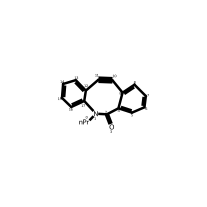 CCCN1C(=O)c2ccccc2C#Cc2ccccc21